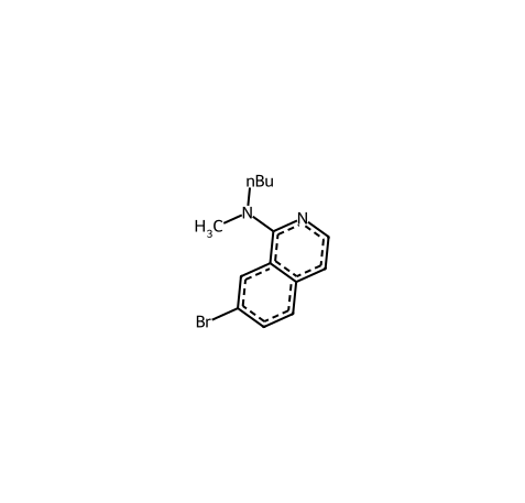 CCCCN(C)c1nccc2ccc(Br)cc12